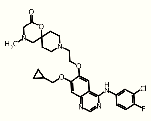 CN1CC(=O)OC2(CCN(CCOc3cc4c(Nc5ccc(F)c(Cl)c5)ncnc4cc3OCC3CC3)CC2)C1